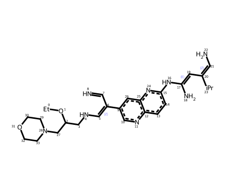 CCOC(CN/C=C(\C=N)c1cnc2ccc(N/C(N)=C/C(=C\N)C(C)C)nc2c1)CN1CCOCC1